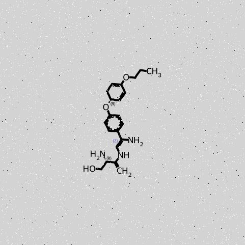 C=C(N/C=C(\N)c1ccc(O[C@H]2C=CC(OCCC)=CC2)cc1)[C@@H](N)CO